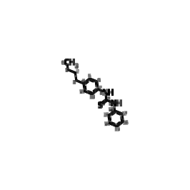 CCCCc1ccc(NC(=S)Nc2ccccc2)cc1